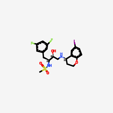 CS(=O)(=O)N[C@@H](Cc1cc(F)cc(F)c1)[C@H](O)CN[C@H]1CCOc2ccc(I)cc21